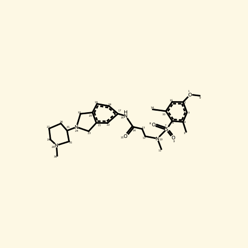 COc1cc(C)c(S(=O)(=O)N(C)CCC(=O)Nc2ccc3c(c2)CN(C2CCCN(C)C2)C3)c(C)c1